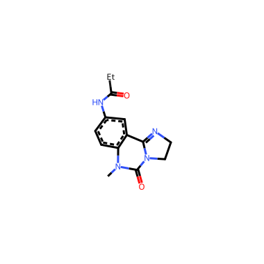 CCC(=O)Nc1ccc2c(c1)C1=NCCN1C(=O)N2C